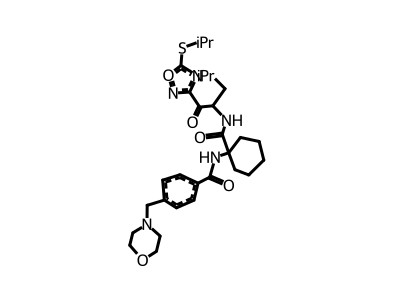 CC(C)CC(NC(=O)C1(NC(=O)c2ccc(CN3CCOCC3)cc2)CCCCC1)C(=O)c1noc(SC(C)C)n1